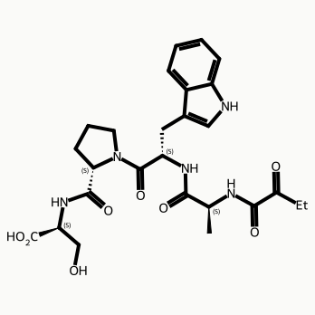 CCC(=O)C(=O)N[C@@H](C)C(=O)N[C@@H](Cc1c[nH]c2ccccc12)C(=O)N1CCC[C@H]1C(=O)N[C@@H](CO)C(=O)O